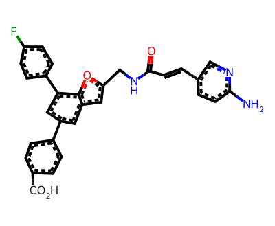 Nc1ccc(/C=C/C(=O)NCc2cc3cc(-c4ccc(C(=O)O)cc4)cc(-c4ccc(F)cc4)c3o2)cn1